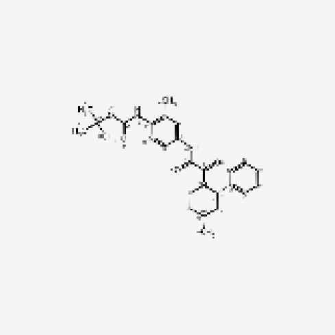 Cc1cc(NC(=O)C(=O)N2CC[C@@H](C)C[C@H]2c2ccccc2)cnc1NC(=O)OC(C)(C)C